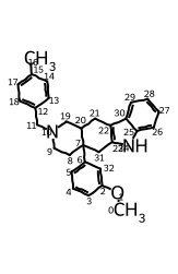 COc1cccc(C23CCN(Cc4ccc(C)cc4)CC2Cc2c([nH]c4ccccc24)C3)c1